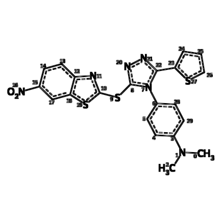 CN(C)c1ccc(-n2c(Sc3nc4ccc([N+](=O)[O-])cc4s3)nnc2-c2cccs2)cc1